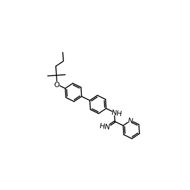 CCCC(C)(C)Oc1ccc(-c2ccc(NC(=N)c3ccccn3)cc2)cc1